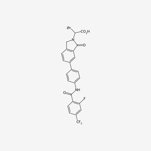 CC(C)C(C(=O)O)N1Cc2ccc(-c3ccc(NC(=O)c4ccc(C(F)(F)F)cc4F)cc3)cc2C1=O